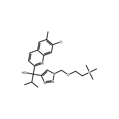 Cc1cc2ccc(C(O)(c3cn(COCC[Si](C)(C)C)nn3)C(C)C)nc2cc1Cl